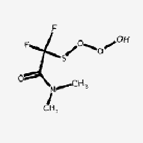 CN(C)C(=O)C(F)(F)SOOO